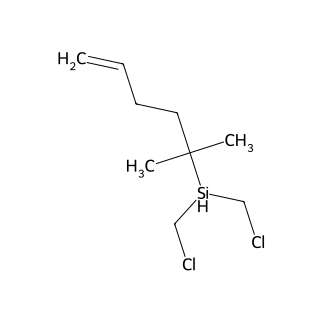 C=CCCC(C)(C)[SiH](CCl)CCl